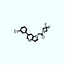 CCc1cccc(-c2cnc3ccn(CC(=O)N4CC(F)(F)C4)c3c2)c1